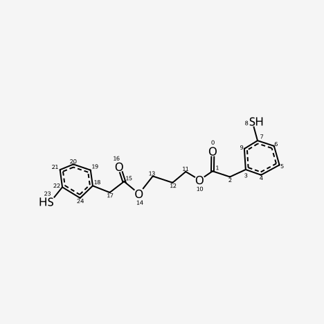 O=C(Cc1cccc(S)c1)OCCCOC(=O)Cc1cccc(S)c1